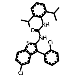 CC(C)c1cccc(C(C)C)c1NC(=O)Nc1sc2ccc(Cl)cc2c1-c1ccccc1Cl